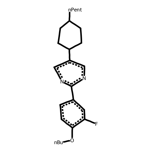 CCCCCC1CCC(c2cnc(-c3ccc(OCCCC)c(F)c3)nc2)CC1